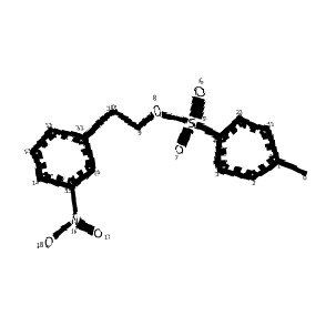 Cc1ccc(S(=O)(=O)OCCc2cccc([N+](=O)[O-])c2)cc1